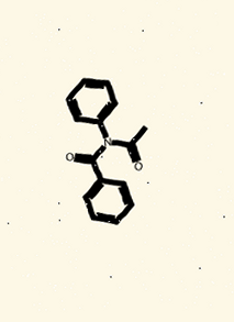 CC(=O)N(C(=O)c1ccccc1)c1ccccc1